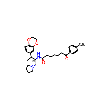 CC(c1ccc2c(c1)OCCO2)[C@@H](CN1CCCC1)NC(=O)CCCCCC(=O)c1ccc(C(C)(C)C)cc1